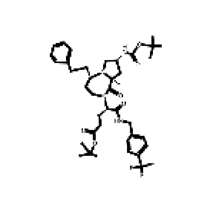 CC(C)(C)OC(=O)CC[C@H](C(=O)NCc1ccc(C(F)(F)F)cc1)N1CC[C@@H](CCc2ccccc2)N2C[C@H](NC(=O)OC(C)(C)C)C[C@H]2C1=O